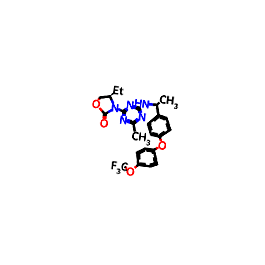 CC[C@H]1COC(=O)N1c1nc(C)nc(N[C@@H](C)c2ccc(Oc3ccc(OC(F)(F)F)cc3)cc2)n1